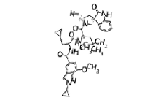 COc1cc(C(=O)NC(CC2CC2)C(=O)N(C)[C@@H](CC(C)(C)C)C(=O)N2C[C@]3(C[C@H]2C#N)C(=O)Nc2ccccc23)cc2cn(C3CC3)nc12